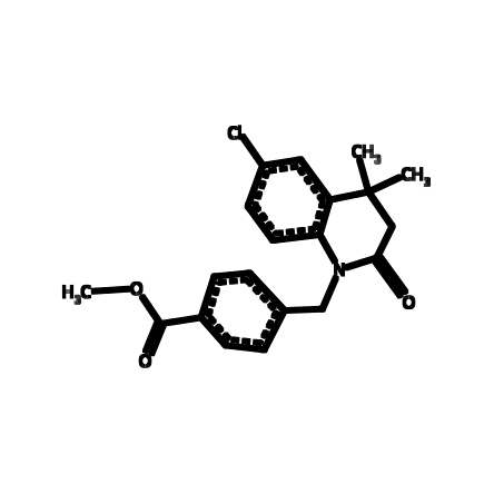 COC(=O)c1ccc(CN2C(=O)CC(C)(C)c3cc(Cl)ccc32)cc1